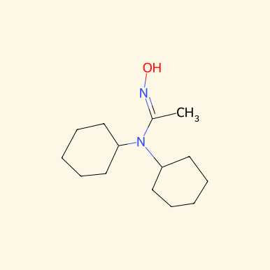 CC(=NO)N(C1CCCCC1)C1CCCCC1